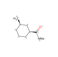 CNC(=O)[C@H]1CCC[C@@H](C)C1